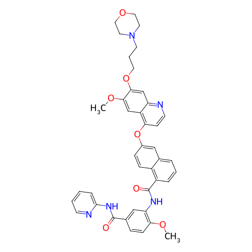 COc1ccc(C(=O)Nc2ccccn2)cc1NC(=O)c1cccc2cc(Oc3ccnc4cc(OCCCN5CCOCC5)c(OC)cc34)ccc12